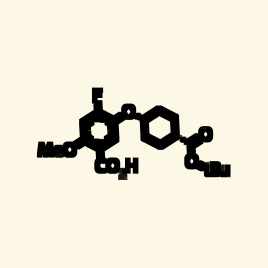 COc1cc(F)c(O[C@H]2CC[C@@H](C(=O)OC(C)(C)C)CC2)cc1C(=O)O